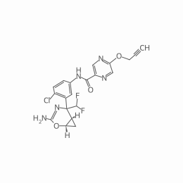 C#CCOc1cnc(C(=O)Nc2ccc(Cl)c(C3(C(F)F)N=C(N)O[C@H]4C[C@H]43)c2)cn1